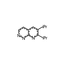 CC(C)c1cc2ccnnc2nc1C(C)C